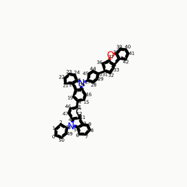 c1ccc(-n2c3ccccc3c3cc(-c4ccc5c(c4)c4ccccc4n5-c4ccc(-c5ccc6c(c5)oc5ccccc56)cc4)ccc32)cc1